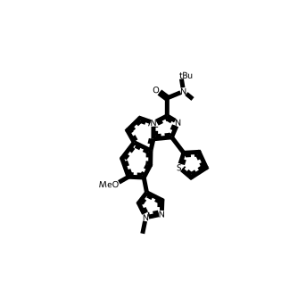 COc1cc2ccn3c(C(=O)N(C)C(C)(C)C)nc(-c4cccs4)c3c2cc1-c1cnn(C)c1